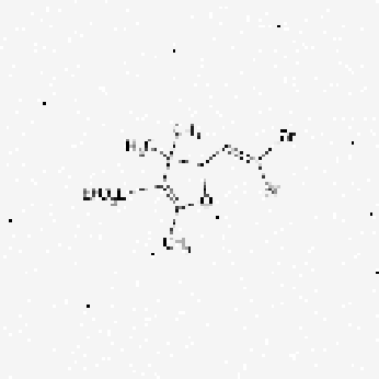 CCOC(=O)C1=C(C)OC(C=C(Br)Br)C1(C)C